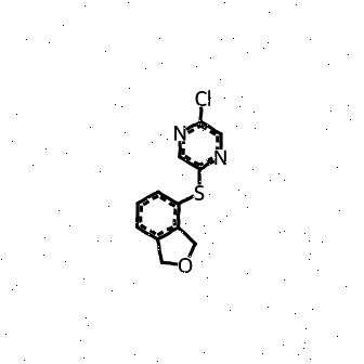 Clc1cnc(Sc2cccc3c2COC3)cn1